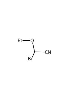 CCOC(Br)C#N